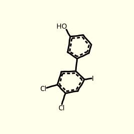 Oc1cccc(-c2cc(Cl)c(Cl)cc2I)c1